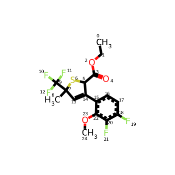 CCOC(=O)C1SC(C)(C(F)(F)F)C=C1c1ccc(F)c(F)c1OC